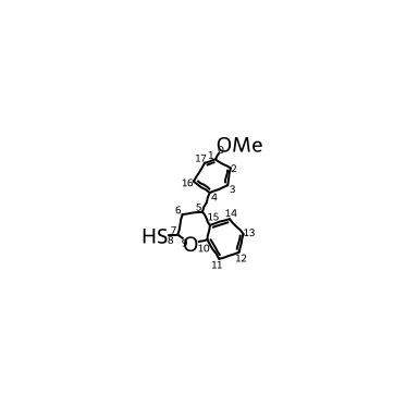 COc1ccc(C2CC(S)Oc3ccccc32)cc1